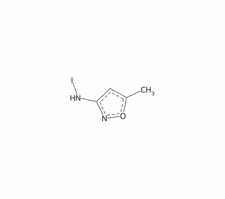 Cc1cc(NI)no1